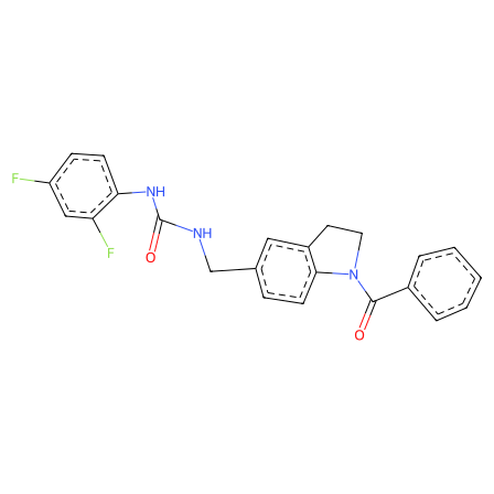 O=C(NCc1ccc2c(c1)CCN2C(=O)c1ccccc1)Nc1ccc(F)cc1F